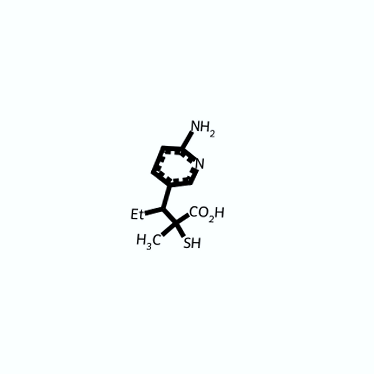 CCC(c1ccc(N)nc1)C(C)(S)C(=O)O